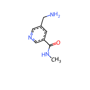 CNC(=O)c1cncc(CN)c1